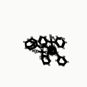 CC(C)(C)P(C[C]12[C]3(c4ccccc4)[C]4(c5ccccc5)[CH]5[C]1(C(P)(c1cccnc1)c1cccnc1)[Fe]54231678[CH]2[CH]1[CH]6[CH]7[CH]28)C1C2CC3CC(C2)CC1C3